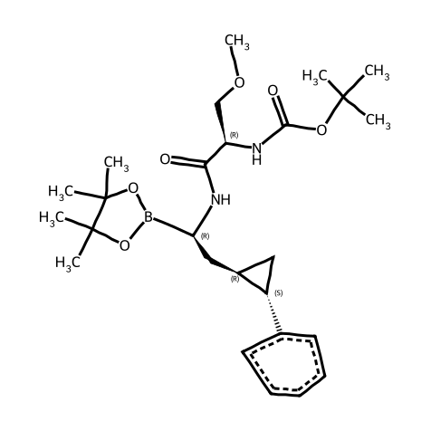 COC[C@@H](NC(=O)OC(C)(C)C)C(=O)N[C@@H](C[C@H]1C[C@@H]1c1ccccc1)B1OC(C)(C)C(C)(C)O1